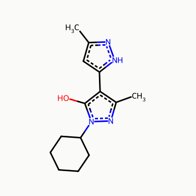 Cc1cc(-c2c(C)nn(C3CCCCC3)c2O)[nH]n1